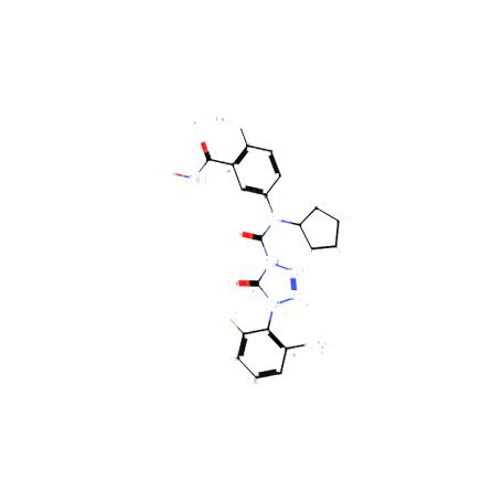 COc1ccc(N(C(=O)n2nnn(-c3c(F)cccc3OC)c2=O)C2CCCC2)cc1C(=O)NO